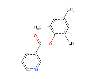 Cc1cc(C)c(OC(=O)c2cccnc2)c(C)c1